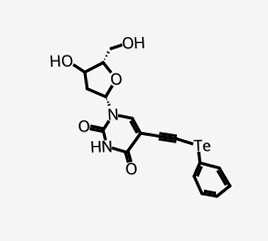 O=c1[nH]c(=O)n([C@@H]2CC(O)[C@H](CO)O2)cc1C#C[Te]c1ccccc1